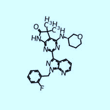 CC1(C)C(=O)Nc2nc(-c3nn(Cc4ccccc4F)c4ncccc34)nc(N[C@@H]3CCCOC3)c21